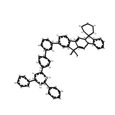 CC1(C)C2=CC3c4ccccc4C4(CCCCC4)C3C=C2c2ccc(-c3cccc(-c4ccc(-c5cc(-c6ccccc6)nc(-c6ccccc6)n5)cc4)c3)cc21